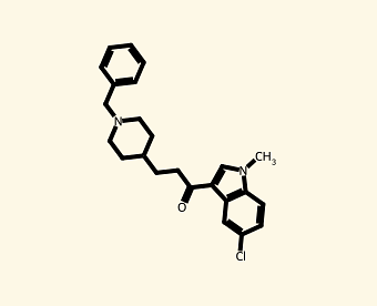 Cn1cc(C(=O)CCC2CCN(Cc3ccccc3)CC2)c2cc(Cl)ccc21